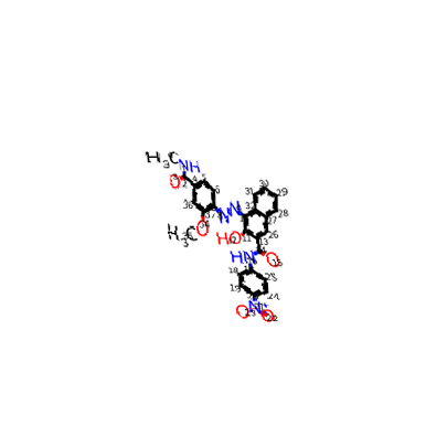 CNC(=O)c1ccc(/N=N/c2c(O)c(C(=O)Nc3ccc([N+](=O)[O-])cc3)cc3ccccc23)c(OC)c1